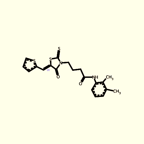 Cc1cccc(NC(=O)CCCN2C(=O)/C(=C/c3cccs3)SC2=S)c1C